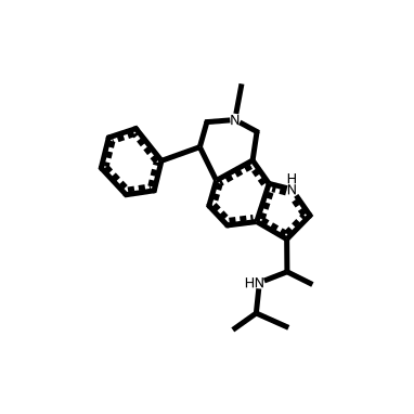 CC(C)NC(C)c1c[nH]c2c3c(ccc12)C(c1ccccc1)CN(C)C3